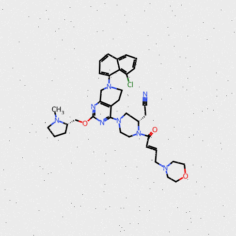 CN1CCC[C@H]1COc1nc2c(c(N3CCN(C(=O)/C=C/CN4CCOCC4)[C@@H](CC#N)C3)n1)CCN(c1cccc3cccc(Cl)c13)C2